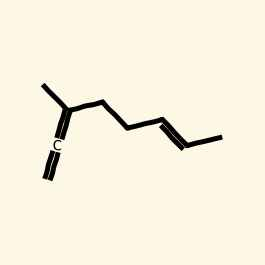 C=C=C(C)CCC=CC